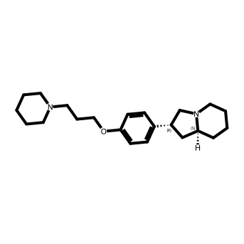 c1cc([C@H]2C[C@@H]3CCCCN3C2)ccc1OCCCN1CCCCC1